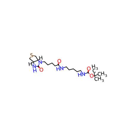 CC(C)(C)OC(=O)NCCCCCNC(=O)CCCCN1C(=O)N[C@@H]2CSC[C@@H]21